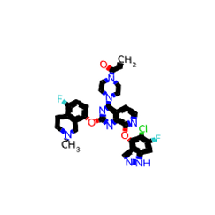 C=CC(=O)N1CCN(c2nc(Oc3ccc(F)c4c3CN(C)CC4)nc3c(Oc4c(Cl)c(F)cc5[nH]ncc45)nccc23)CC1